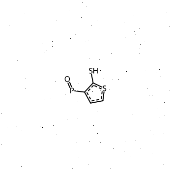 O=Pc1ccsc1S